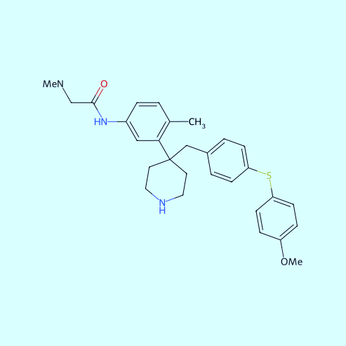 CNCC(=O)Nc1ccc(C)c(C2(Cc3ccc(Sc4ccc(OC)cc4)cc3)CCNCC2)c1